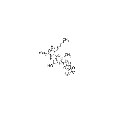 C=CCCSC[C@@H](C)[C@H](NC(=O)OC(C)(C)C)C(=O)N1C[C@H](O)C[C@H]1C(=O)N[C@]1(C(=O)NS(=O)(=O)C2(C)CC2)C[C@H]1C=C